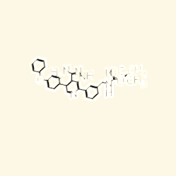 CC(C)(C)OC(=O)NCc1cccc(-c2ncc(-c3ccc(Oc4ccccc4)cc3)c3c(N)n[nH]c23)c1